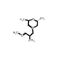 COCC(C)CN1CC(C)O[C@H](C)C1